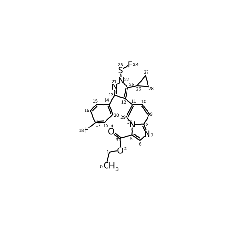 CCOC(=O)c1cnc2ccc(-c3c(-c4ccc(F)cc4)nn(SF)c3C3CC3)cn12